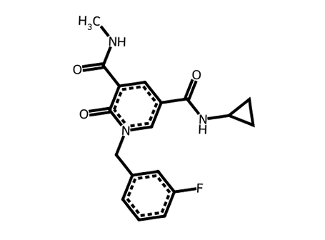 CNC(=O)c1cc(C(=O)NC2CC2)cn(Cc2cccc(F)c2)c1=O